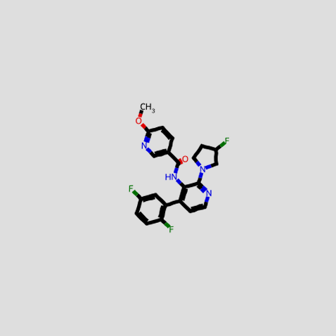 COc1ccc(C(=O)Nc2c(-c3cc(F)ccc3F)ccnc2N2CCC(F)C2)cn1